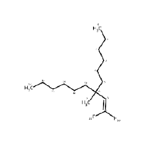 CCCCCCC(C)(C=C(F)F)CCCCCC